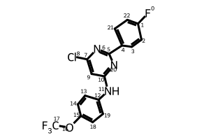 Fc1ccc(-c2nc(Cl)cc(Nc3ccc(OC(F)(F)F)cc3)n2)cc1